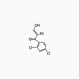 CC/C(=C\O)C(=O)c1ccc(Cl)cc1Cl